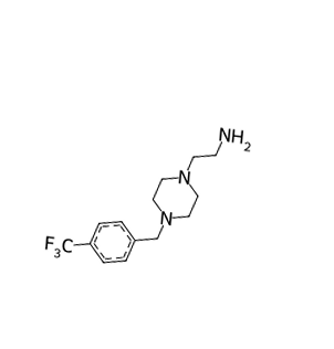 NCCN1CCN(Cc2ccc(C(F)(F)F)cc2)CC1